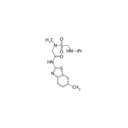 Cc1ccc2nc(NC(=O)CN(C)S(=O)(=O)CNC(C)C)sc2c1